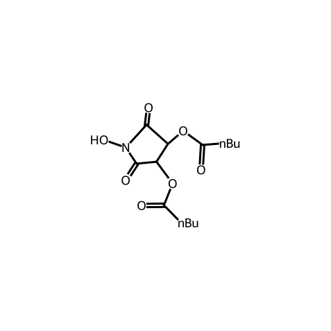 CCCCC(=O)OC1C(=O)N(O)C(=O)C1OC(=O)CCCC